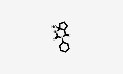 O=C1NC2(O)CCCC2C(=O)N1C1CCCCC1